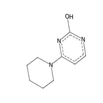 Oc1nccc(N2CCCCC2)n1